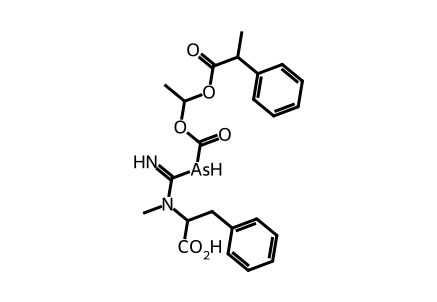 CC(OC(=O)[AsH]C(=N)N(C)C(Cc1ccccc1)C(=O)O)OC(=O)C(C)c1ccccc1